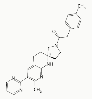 Cc1ccc(CC(=O)N2CC[C@@]3(CCc4cc(-c5ncccn5)c(C)nc4N3)C2)cc1